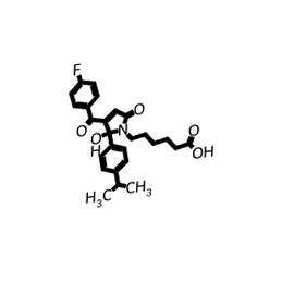 CC(C)c1ccc(C2(O)C(C(=O)c3ccc(F)cc3)=CC(=O)N2CCCCCC(=O)O)cc1